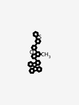 Cc1cc2c3c(ccc(-c4cccc5c4-c4ccccc4C54c5ccccc5-c5ccccc54)c3c1)Oc1ccc(-c3ccc4sc5ccccc5c4c3)cc1-2